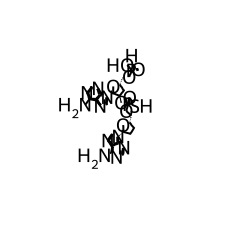 Nc1ncnc2c1ncn2[C@@H]1O[C@H](CO[PH](=O)O)C[C@H]1O[P@](=O)(S)OC[C@@H]1CC[C@H](n2cnc3c(N)ncnc32)O1